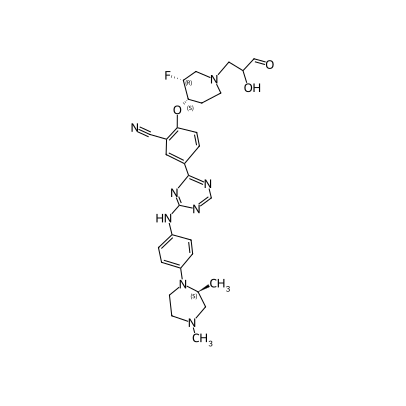 C[C@H]1CN(C)CCN1c1ccc(Nc2ncnc(-c3ccc(O[C@H]4CCN(CC(O)C=O)C[C@H]4F)c(C#N)c3)n2)cc1